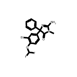 CCc1cc(C2(c3ccccc3)N=C(N)N(C)C2=O)ccc1OC(F)F